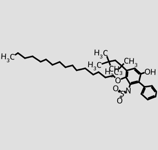 CCCCCCCCCCCCCCCCOc1c(C(C)(C)CC(C)(C)C)cc(O)c(-c2ccccc2)c1N=S(=O)=O